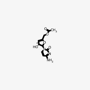 CC(=O)OCC1=C[C@@H](O)C(n2ccc(N)nc2=O)O1